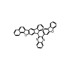 c1ccc2c(c1)-c1cc3c(cc1C2c1nc2ccccc2nc1-c1ccc2c(c1)oc1ccccc12)oc1c2ccccc2ccc31